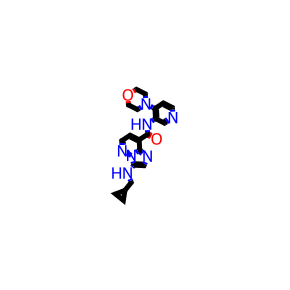 O=C(Nc1cnccc1N1CCOCC1)c1ccnn2c(NCC3CC3)cnc12